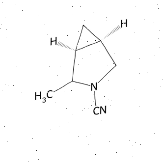 CC1[C@H]2C[C@H]2CN1C#N